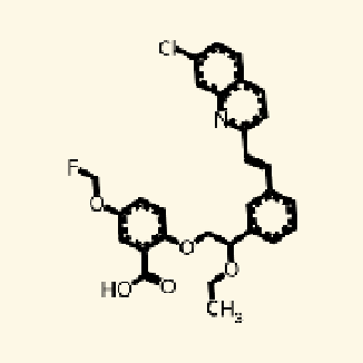 CCOC(COc1ccc(OCF)cc1C(=O)O)c1cccc(/C=C/c2ccc3ccc(Cl)cc3n2)c1